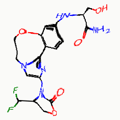 NC(=O)[C@H](CO)Nc1ccc2c(c1)OCCn1cc(N3C(=O)OCC3C(F)F)nc1-2